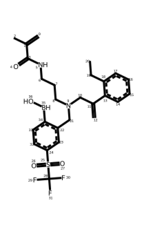 C=C(C)C(=O)NCCCN(CC(=C)c1ccccc1CC)Cc1cc(S(=O)(=O)C(F)(F)F)ccc1BO